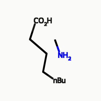 CCCCCCCC(=O)O.CN